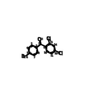 O=C(c1ccc(Br)cc1)c1ccc(Cl)cc1Cl